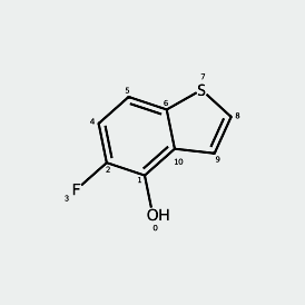 Oc1c(F)ccc2sccc12